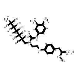 CCOC(Cc1ccc(OCCN(CC(F)(F)C(F)(F)C(F)(F)C(F)(F)C(F)(F)C(F)(F)F)C(=O)Oc2ccc(C)c([N+](=O)[O-])c2)cc1)C(=O)O